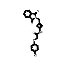 O=C(COc1ccc(Cl)cc1)NC12CC(CN3C(=O)c4ccccc4C3=O)(C1)C2